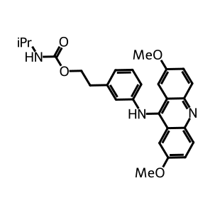 COc1ccc2nc3ccc(OC)cc3c(Nc3cccc(CCOC(=O)NC(C)C)c3)c2c1